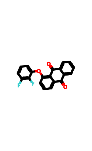 O=C1c2ccccc2C(=O)c2c(Oc3cccc(F)c3F)c[c]cc21